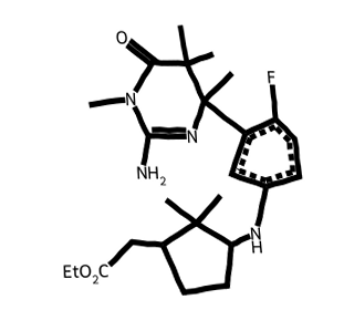 CCOC(=O)CC1CCC(Nc2ccc(F)c(C3(C)N=C(N)N(C)C(=O)C3(C)C)c2)C1(C)C